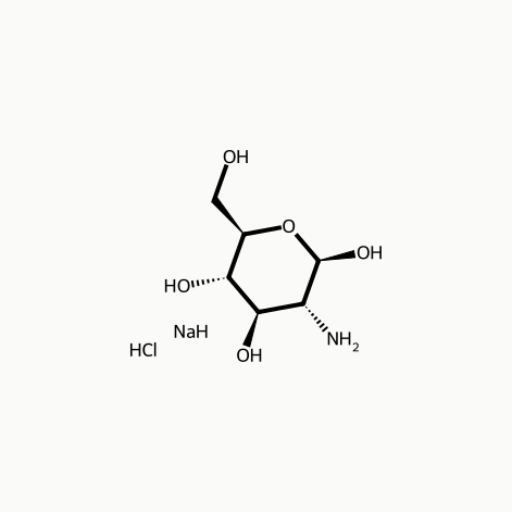 Cl.N[C@@H]1[C@@H](O)[C@H](O)[C@@H](CO)O[C@H]1O.[NaH]